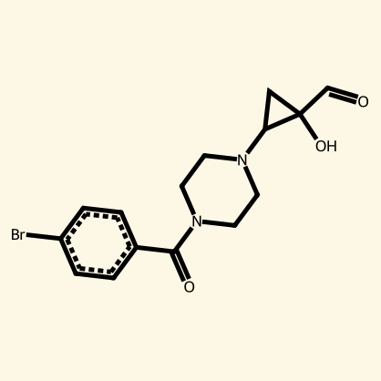 O=CC1(O)CC1N1CCN(C(=O)c2ccc(Br)cc2)CC1